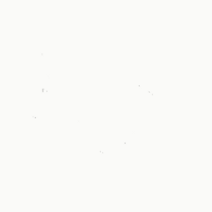 CC(C)CC(=O)Nc1ccc(-c2c[nH]c3ncc(-c4cnn(C)c4)cc23)cc1C#N